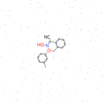 Cc1cccc(OCc2ccccc2C(C#N)=NO)c1